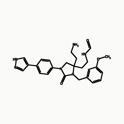 COc1cccc(CN2C(=O)N(c3ccc(-c4cn[nH]c4)cc3)CC2(CCN)CCNC=O)c1